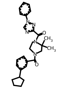 CC1(C)CN(C(=O)c2cccc(C3CCCC3)c2)CCN1C(=O)c1ncn(-c2ccccc2)n1